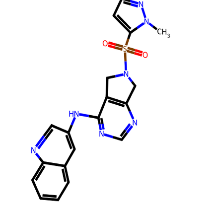 Cn1nccc1S(=O)(=O)N1Cc2ncnc(Nc3cnc4ccccc4c3)c2C1